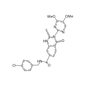 COc1cnc(-n2c(=S)[nH]c3cc(C(=O)NCc4ccc(Cl)cc4)ccc3c2=O)nc1OC